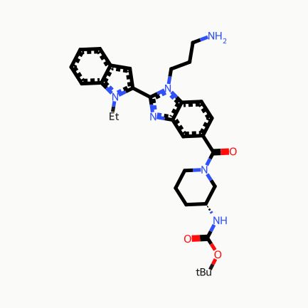 CCn1c(-c2nc3cc(C(=O)N4CCC[C@@H](NC(=O)OC(C)(C)C)C4)ccc3n2CCCN)cc2ccccc21